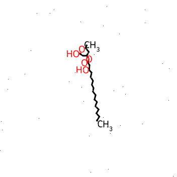 CCCCCCCCCCCCCCCC(O)CC(=O)OC(CCC)CC(=O)O